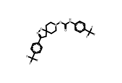 O=C(Nc1ccc(C(F)(F)F)cc1)ON1CCC2(CC1)CC(c1ccc(C(F)(F)F)cc1)=NO2